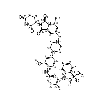 COc1cc(N2CCN(Cc3cc(F)c4c(c3)C(=O)N(C3CCC(=O)NC3=O)C4=O)CC2)ccc1Nc1ncc(Cl)c(Nc2ccccc2P(=O)(OC)OC)n1